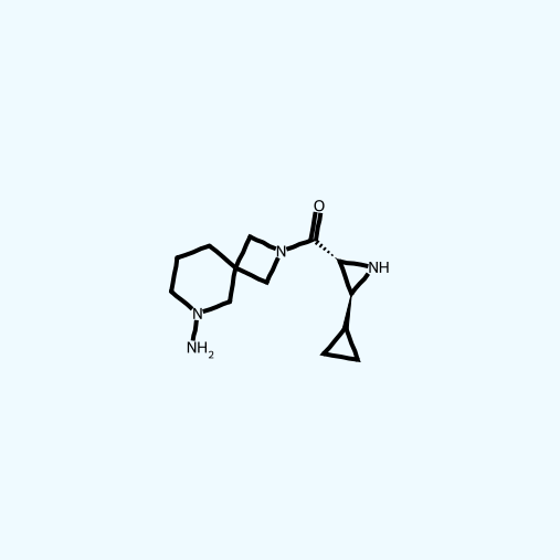 NN1CCCC2(C1)CN(C(=O)[C@@H]1N[C@H]1C1CC1)C2